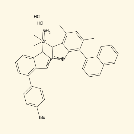 CC1=Cc2c(-c3cccc4ccccc34)c(C)cc(C)c2[CH]1[Zr]([CH3])([CH3])(=[SiH2])[CH]1C(C(C)C)=Cc2c(-c3ccc(C(C)(C)C)cc3)cccc21.Cl.Cl